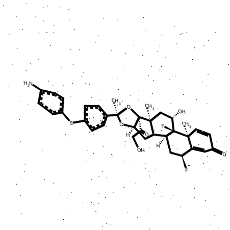 C[C@@]1(c2ccc(Sc3ccc(N)cc3)cc2)O[C@@H]2CC3[C@@H]4C[C@H](F)C5=CC(=O)C=C[C@]5(C)[C@@]4(F)[C@@H](O)C[C@]3(C)[C@]2(C(=O)CO)O1